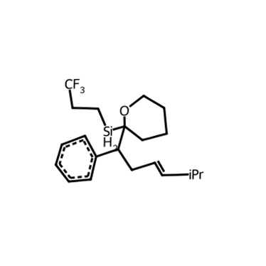 CC(C)C=CCC(c1ccccc1)C1([SiH2]CCC(F)(F)F)CCCCO1